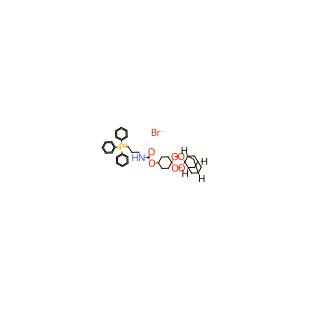 O=C(NCCC[P+](c1ccccc1)(c1ccccc1)c1ccccc1)OC1CCC2(CC1)OOC1(OO2)[C@H]2C[C@@H]3C[C@@H](C[C@H]1C3)C2.[Br-]